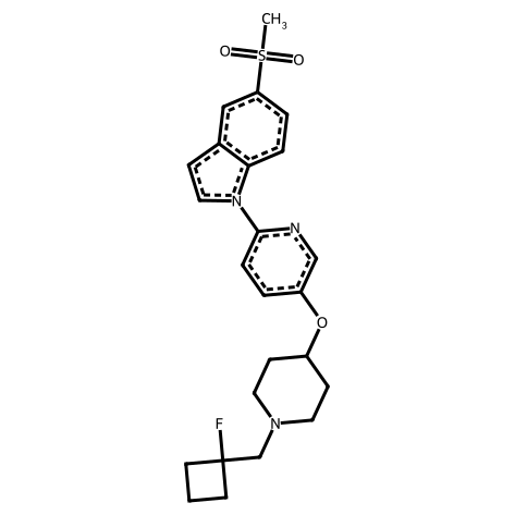 CS(=O)(=O)c1ccc2c(ccn2-c2ccc(OC3CCN(CC4(F)CCC4)CC3)cn2)c1